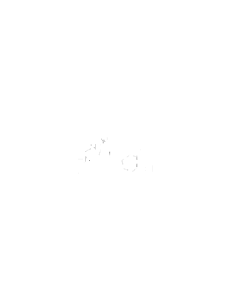 CC(=NS(=O)(=O)C=Cc1ccc(Cl)c(Cl)c1)NC1CC1